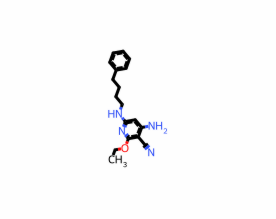 CCOc1nc(NCCCCc2ccccc2)cc(N)c1C#N